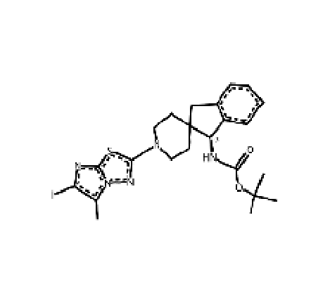 Cc1c(I)nc2sc(N3CCC4(CC3)Cc3ccccc3[C@H]4NC(=O)OC(C)(C)C)nn12